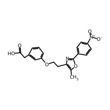 Cc1oc(-c2ccc([N+](=O)[O-])cc2)nc1CCOc1cccc(CC(=O)O)c1